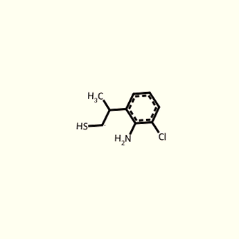 CC([CH]S)c1cccc(Cl)c1N